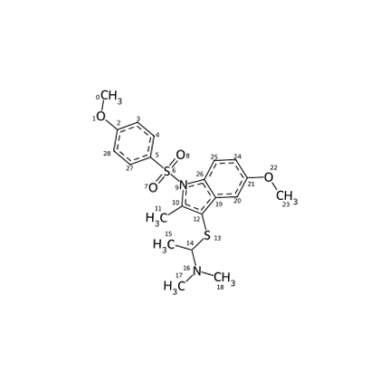 COc1ccc(S(=O)(=O)n2c(C)c(SC(C)N(C)C)c3cc(OC)ccc32)cc1